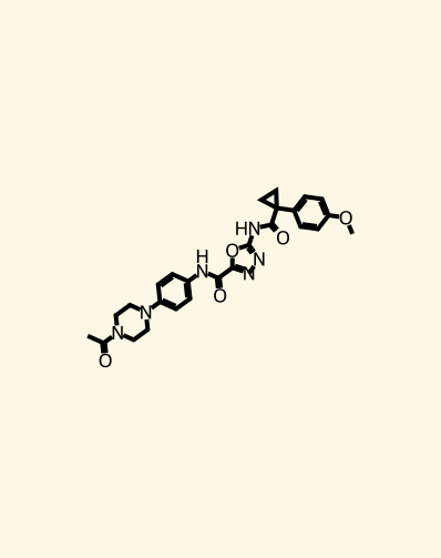 COc1ccc(C2(C(=O)Nc3nnc(C(=O)Nc4ccc(N5CCN(C(C)=O)CC5)cc4)o3)CC2)cc1